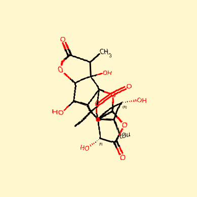 CC1C(=O)OC2C(O)C34C5OC(=O)C3(OC3OC(=O)[C@H](O)C34C(C(C)(C)C)[C@H]5O)C12O